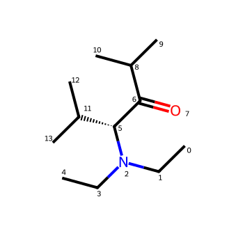 CCN(CC)[C@@H](C(=O)C(C)C)C(C)C